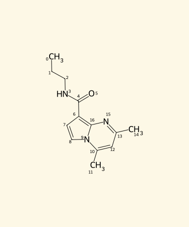 CCCNC(=O)c1ccn2c(C)cc(C)nc12